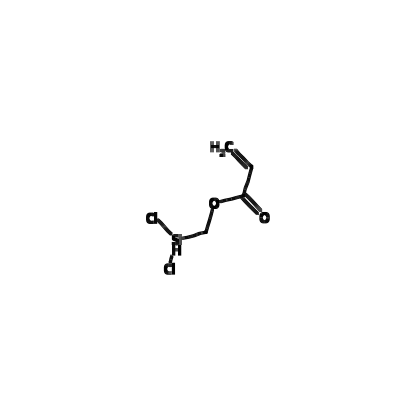 C=CC(=O)OC[SiH](Cl)Cl